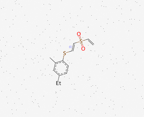 C=CS(=O)(=O)/C=C/Sc1ccc(CC)cc1C